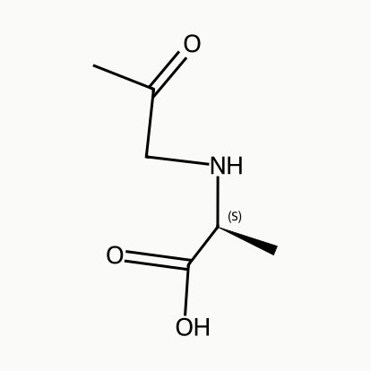 CC(=O)CN[C@@H](C)C(=O)O